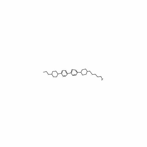 CCCC1CCC(c2ccc(-c3ccc(C4CCC(CCCCCF)CC4)cc3)cc2)CC1